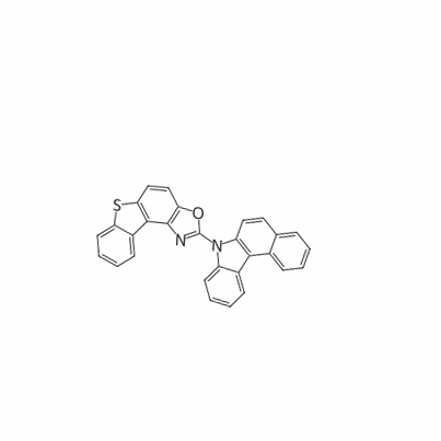 c1ccc2c(c1)ccc1c2c2ccccc2n1-c1nc2c(ccc3sc4ccccc4c32)o1